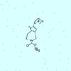 CC(C)(C)OC(=O)N1CCc2sc(C(=O)O)cc2C1